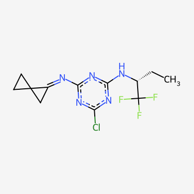 CC[C@@H](Nc1nc(Cl)nc(/N=C2\CC23CC3)n1)C(F)(F)F